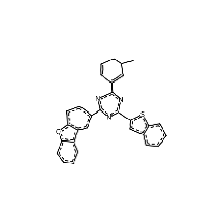 CC1C=C(c2nc(-c3ccc4oc5ccccc5c4c3)nc(-c3cc4ccccc4s3)n2)C=CC1